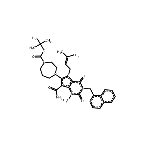 CC(C)=CCn1c(N2CCCN(C(=O)OC(C)(C)C)CC2)c(C(N)=O)c2c1c(=O)n(Cc1nccc3ccccc13)c(=O)n2C